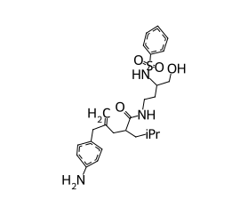 C=C(Cc1ccc(N)cc1)CC(CC(C)C)C(=O)NCCC(CO)NS(=O)(=O)c1ccccc1